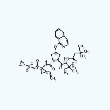 C=C[C@@H]1C[C@]1(NC(=O)[C@@H]1C[C@@H](Oc2nccc3ccccc23)CN1C(=O)[C@@H](NC(=O)CC(C)(C)C)C(C)(C)C)C(=O)NS(=O)(=O)C1CC1